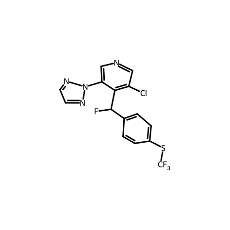 FC(c1ccc(SC(F)(F)F)cc1)c1c(Cl)cncc1-n1nccn1